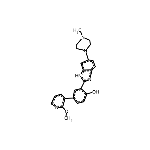 COc1ncccc1-c1ccc(O)c(-c2nc3ccc(N4CCN(C)CC4)cc3[nH]2)c1